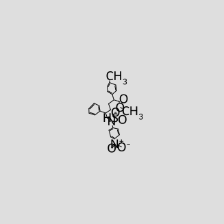 COC(=O)C(CCC(CN(c1ccc([N+](=O)[O-])cc1)[SH](=O)=O)c1ccccc1)c1ccc(C)cc1